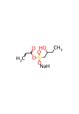 C=CC(=O)OS(=O)(=O)CC(O)CC.[NaH]